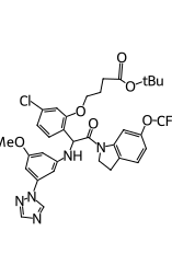 COc1cc(NC(C(=O)N2CCc3ccc(OC(F)(F)F)cc32)c2ccc(Cl)cc2OCCCC(=O)OC(C)(C)C)cc(-n2cncn2)c1